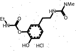 CCNC(=O)Oc1cc(CCNC(=O)NC)ccc1O.Cl